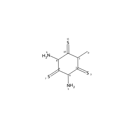 CC1C(=S)C(N)C(=S)C(N)C1=S